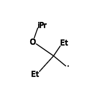 [CH2]C(CC)(CC)OC(C)C